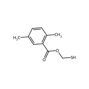 Cc1ccc(C)c(C(=O)OCS)c1